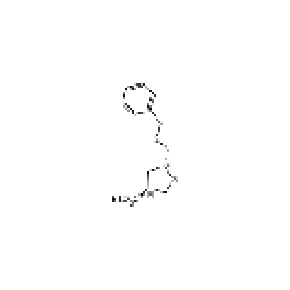 CCOC(=O)[C@@H]1CS[C@@H](CSCc2ccccc2)C1